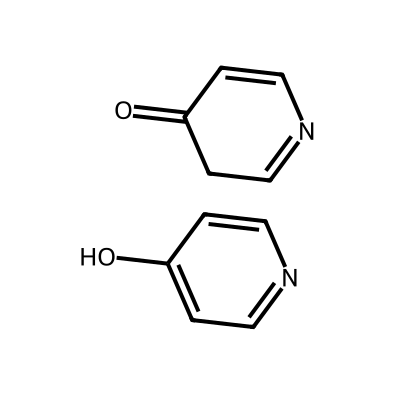 O=C1C=CN=CC1.Oc1ccncc1